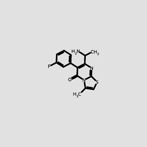 Cc1csc2nc(C(C)N)c(-c3cccc(F)c3)c(=O)n12